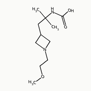 COCCN1CC(CC(C)(C)NC(=O)O)C1